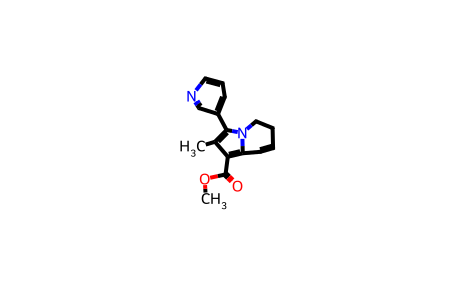 COC(=O)c1c(C)c(-c2cccnc2)n2c1C=CCC2